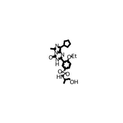 CCOc1ccc(S(=O)(=O)NC(C)CO)cc1-c1nc2c(C3CCCC3)nc(C)n2c(=O)[nH]1